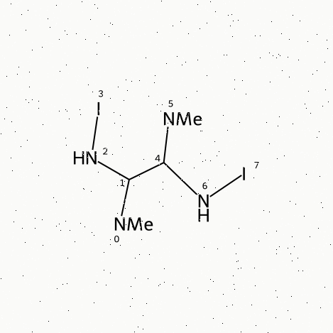 CNC(NI)C(NC)NI